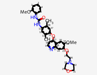 COc1ccccc1NC(=O)Nc1cc(C)c(Oc2ccnc3cc(OCCN4CCOCC4)c(OC)cc23)cc1C